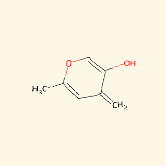 C=C1C=C(C)OC=C1O